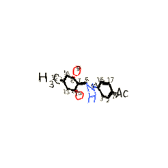 CC(=O)C1=CCC(NC=C2C(=O)CC(C)CC2=O)C=C1